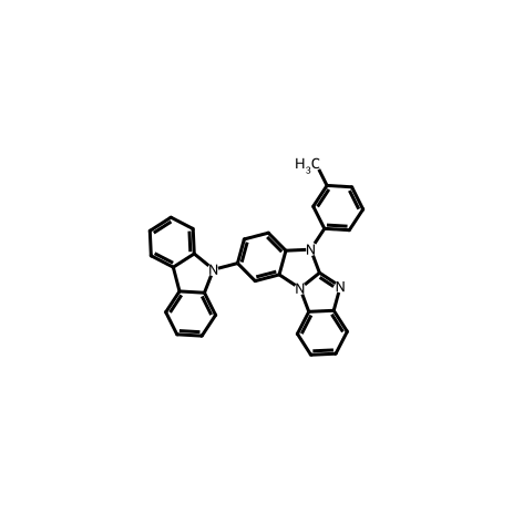 Cc1cccc(-n2c3ccc(-n4c5ccccc5c5ccccc54)cc3n3c4ccccc4nc23)c1